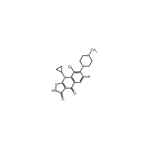 CN1CCN(c2c(F)cc3c(=O)c4c(=O)[nH]sc4n(C4CC4)c3c2Cl)CC1